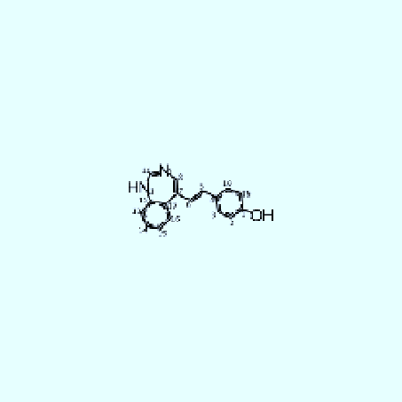 Oc1ccc(/C=C/C2=CN=CNc3ccccc32)cc1